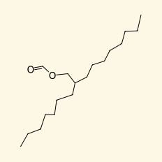 CCCCCCCCC(CCCCCCC)COC=O